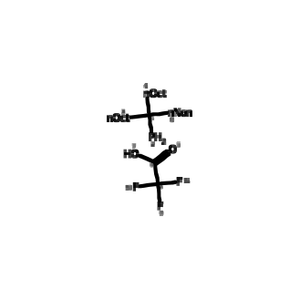 CCCCCCCCCC(P)(CCCCCCCC)CCCCCCCC.O=C(O)C(F)(F)F